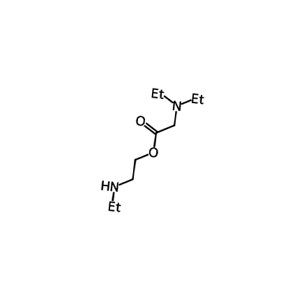 CCNCCOC(=O)CN(CC)CC